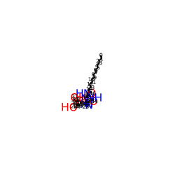 CCCCCCCCCCCCCCCC(=O)Nc1nc2c(ncn2[C@H]2C[C@H](O)[C@@H](CO)O2)c(=O)[nH]1